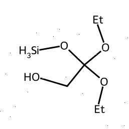 CCOC(CO)(O[SiH3])OCC